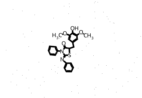 COc1cc(CC2S/C(=N\c3ccccc3)N(c3ccccc3)C2=O)cc(OC)c1O